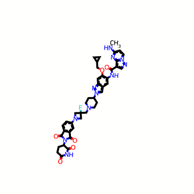 CNc1ccn2ncc(C(=O)Nc3cc4cn(C5CCN(CC6(F)CN(c7ccc8c(c7)C(=O)N(C7CCC(=O)NC7=O)C8=O)C6)CC5)nc4cc3OCC3CC3)c2n1